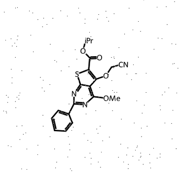 COc1nc(-c2ccccc2)nc2sc(C(=O)OC(C)C)c(OCC#N)c12